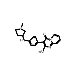 CCCCc1nc2ccccn2c(=O)c1-c1ccc(NC2CCN(C)C2)cc1